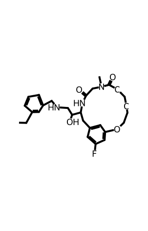 CCc1cccc(CNCC(O)C2Cc3cc(F)cc(c3)OCCCCCC(=O)N(C)CC(=O)N2)c1